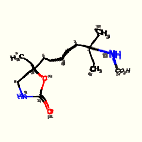 CC(C)(CCCC1(C)CNC(=O)O1)NC(=O)O